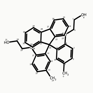 Cc1ccc(OCCO)c(C2(c3cc(C)ccc3OCCO)c3ccccc3-c3ccccc32)c1